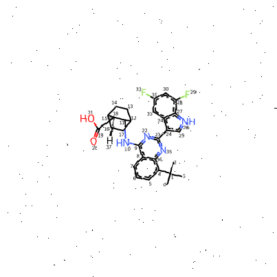 CC(C)(C)c1cccc2c(NC3C4CCC(CC4)[C@H]3C(=O)O)nc(-c3c[nH]c4c(F)cc(F)cc34)nc12